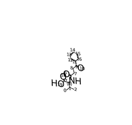 CC(C)[C@H](NC(=O)CCC(=O)c1ccccc1)C(=O)O